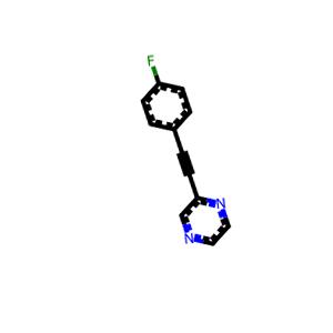 Fc1ccc(C#Cc2cnccn2)cc1